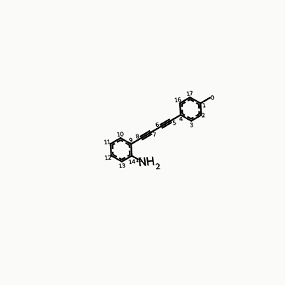 Cc1ccc(C#CC#Cc2ccccc2N)cc1